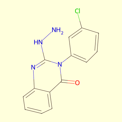 NNc1nc2ccccc2c(=O)n1-c1cccc(Cl)c1